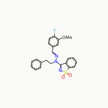 COc1cc(/C=N/N(CCc2ccccc2)C2=NS(=O)(=O)c3ccccc32)ccc1F